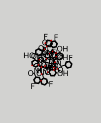 CCCNC(=O)C(c1c(C)n(C(=O)c2cccc(F)c2)c2ccc(O)c(F)c12)C(C(=O)NCC)(c1c(C)n(C(=O)c2cccc(F)c2)c2ccc(O)c(F)c12)C(C(=O)NC)(c1c(C)n(C(=O)c2cccc(F)c2)c2ccc(O)c(F)c12)C(C(N)=O)(c1c(C)n(C(=O)c2cccc(F)c2)c2ccc(O)c(F)c12)C(C(=O)O)c1c(C)n(C(=O)c2cccc(F)c2)c2ccc(O)c(F)c12